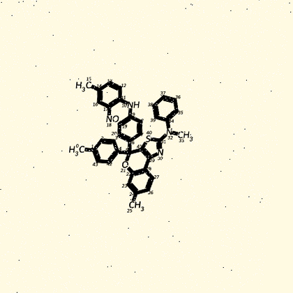 Cc1ccc(C2(c3ccc(Nc4ccc(C)cc4[N+](=O)[O-])cc3)Oc3cc(C)ccc3-c3nc(N(C)c4ccccc4)sc32)cc1